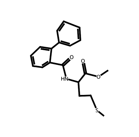 COC(=O)C(CCSC)NC(=O)c1ccccc1-c1ccccc1